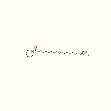 C=CCCCCCCCCCCCCCCCCC(=O)N1CCCCCC1